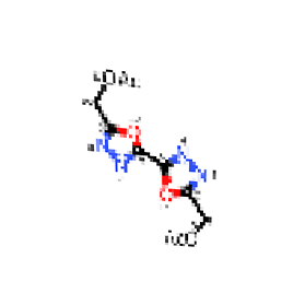 CC(=O)OCc1nnc(-c2nnc(COC(C)=O)o2)o1